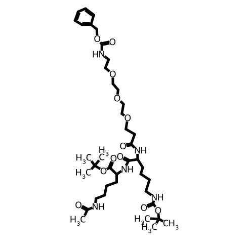 CC(=O)NCCCCC(NC(=O)C(CCCCNC(=O)OC(C)(C)C)NC(=O)CCOCCOCCOCCNC(=O)OCc1ccccc1)C(=O)OC(C)(C)C